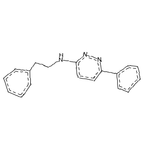 c1ccc(CCNc2ccc(-c3ccccc3)nn2)cc1